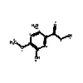 COc1ccc(C(=O)CO)cc1O.O